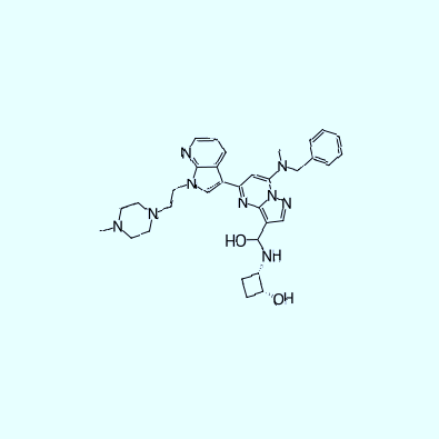 CN1CCN(CCn2cc(-c3cc(N(C)Cc4ccccc4)n4ncc(C(O)N[C@H]5CC[C@H]5O)c4n3)c3cccnc32)CC1